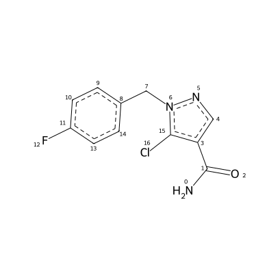 NC(=O)c1cnn(Cc2ccc(F)cc2)c1Cl